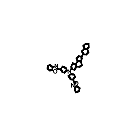 c1ccc2cc(-c3ccc4c(ccc5cc(N(c6ccc(-c7nc8ccccc8o7)cc6)c6ccc(-c7nc8ccccc8o7)cc6)ccc54)c3)ccc2c1